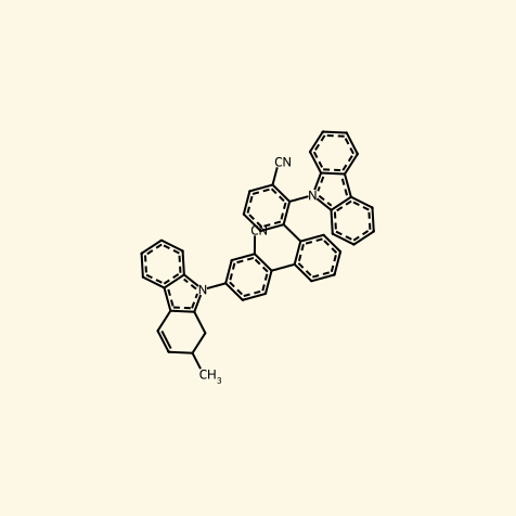 CC1C=Cc2c(n(-c3ccc(-c4ccccc4-c4cccc(C#N)c4-n4c5ccccc5c5ccccc54)c(C#N)c3)c3ccccc23)C1